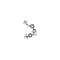 C[N+](C)(C)CCOc1cccc(-c2cnc(Nc3ccc(C(F)(F)F)cc3)o2)c1